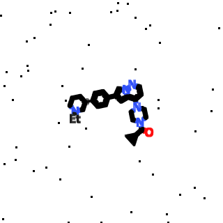 CCN1CCC[C@H](c2ccc(-c3cc4c(N5CCN(C(=O)C6CC6)CC5)ccnn4c3)cc2)C1